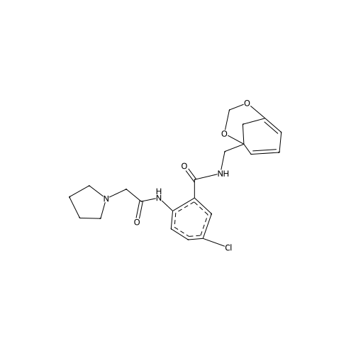 O=C(CN1CCCC1)Nc1ccc(Cl)cc1C(=O)NCC12C=CC=C(C1)OCO2